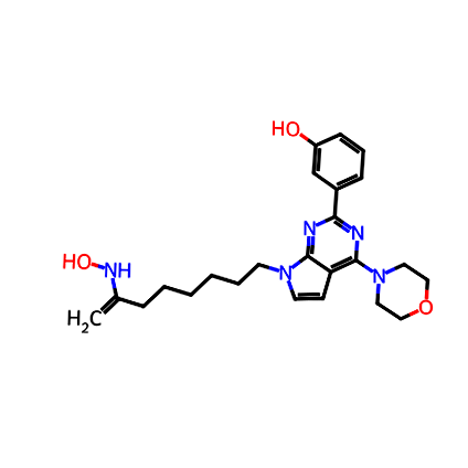 C=C(CCCCCCn1ccc2c(N3CCOCC3)nc(-c3cccc(O)c3)nc21)NO